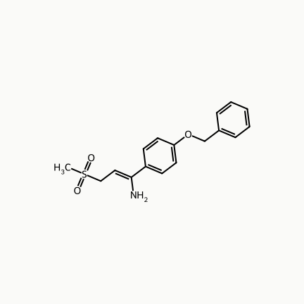 CS(=O)(=O)CC=C(N)c1ccc(OCc2ccccc2)cc1